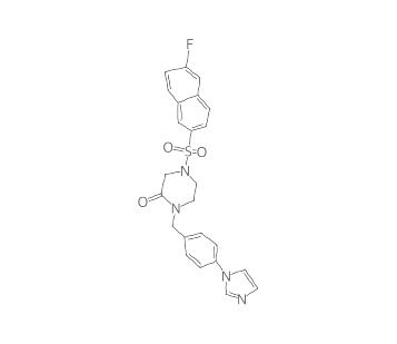 O=C1CN(S(=O)(=O)c2ccc3cc(F)ccc3c2)CCN1Cc1ccc(-n2ccnc2)cc1